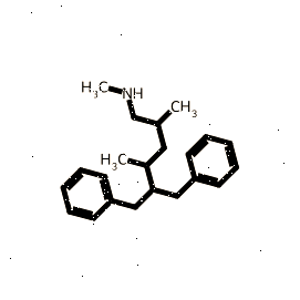 CNCC(C)CC(C)C(Cc1ccccc1)Cc1ccccc1